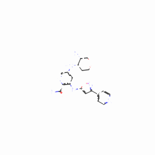 NC(=O)c1ncc(N[C@@H]2CCOC[C@@H]2N)cc1Nc1cc(-c2ccncc2)no1